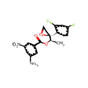 C[C@@H](OC(=O)c1cc([N+](=O)[O-])cc([N+](=O)[O-])c1)[C@]1(c2ccc(F)cc2F)CO1